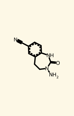 N#Cc1ccc2c(c1)CCN(N)C(=O)N2